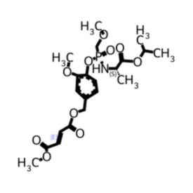 COCP(=O)(N[C@@H](C)C(=O)OC(C)C)Oc1ccc(COC(=O)/C=C/C(=O)OC)cc1OC